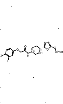 CCCCCOc1nnc([C@H]2CC[Si@H](NC(=O)COc3ccc(Cl)c(F)c3)CN2)o1